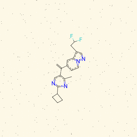 C=C(c1ccn2ncc(CC(F)F)c2c1)c1cnc(C2CCC2)nc1C